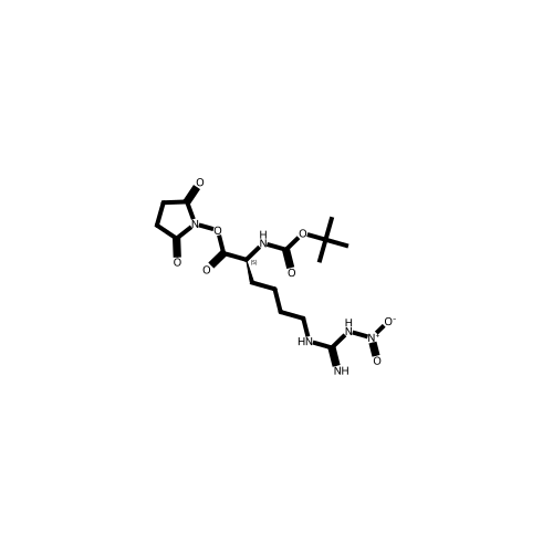 CC(C)(C)OC(=O)N[C@@H](CCCCNC(=N)N[N+](=O)[O-])C(=O)ON1C(=O)CCC1=O